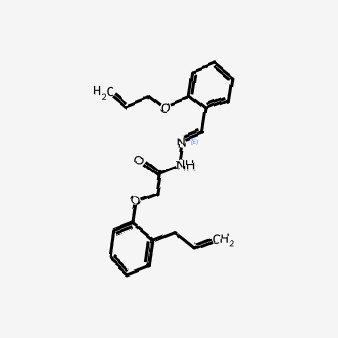 C=CCOc1ccccc1/C=N/NC(=O)COc1ccccc1CC=C